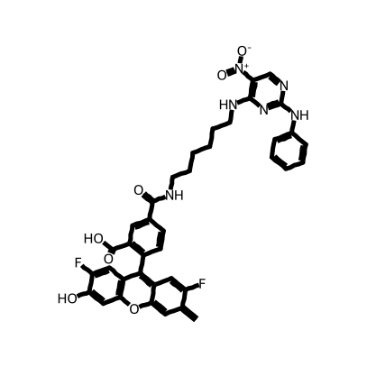 C=c1cc2c(cc1F)=C(c1ccc(C(=O)NCCCCCCNc3nc(Nc4ccccc4)ncc3[N+](=O)[O-])cc1C(=O)O)c1cc(F)c(O)cc1O2